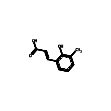 Cc1cccc(C=CC(=O)O)c1O